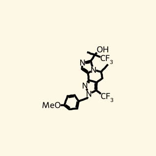 COc1ccc(Cn2nc3c(c2C(F)(F)F)CC(C)n2c-3cnc2C(C)(O)C(F)(F)F)cc1